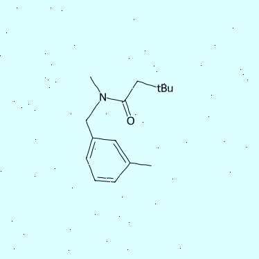 Cc1cccc(CN(C)C(=O)CC(C)(C)C)c1